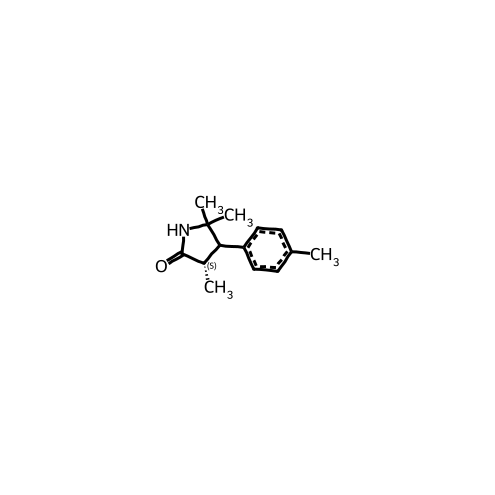 Cc1ccc(C2[C@H](C)C(=O)NC2(C)C)cc1